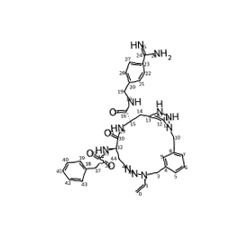 C=CN1Cc2cccc(c2)CN2C=C(C[C@@H](C(=O)NCc3ccc(C(=N)N)cc3)NC(=O)[C@H](NS(=O)(=O)Cc3ccccc3)C/N=N\1)NN2